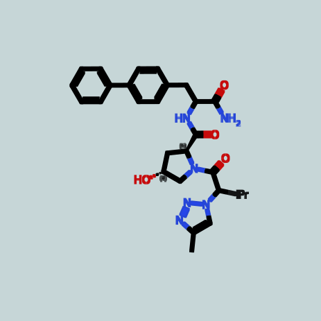 Cc1cn(C(C(=O)N2C[C@H](O)C[C@H]2C(=O)NC(Cc2ccc(-c3ccccc3)cc2)C(N)=O)C(C)C)nn1